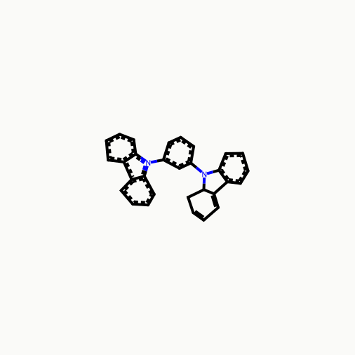 C1=CCC2C(=C1)c1ccccc1N2c1cccc(-n2c3ccccc3c3ccccc32)c1